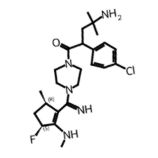 CNC1=C(C(=N)N2CCN(C(=O)C(CC(C)(C)N)c3ccc(Cl)cc3)CC2)[C@H](C)C[C@@H]1F